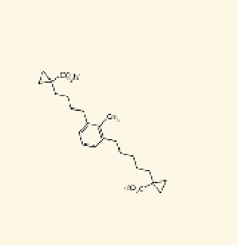 Cc1c(CCCCCC2(C(=O)O)CC2)cccc1CCCCC1(C(=O)O)CC1